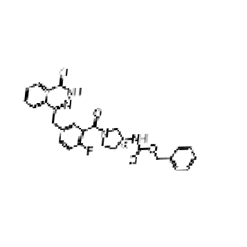 O=C(N[C@H]1CCN(C(=O)c2cc(Cc3n[nH]c(=O)c4ccccc34)ccc2F)C1)OCc1ccccc1